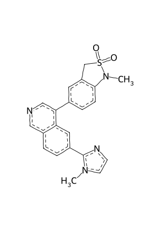 CN1c2ccc(-c3cncc4ccc(-c5nccn5C)cc34)cc2CS1(=O)=O